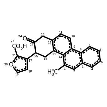 Cc1cc2ccccc2c2ccc3c(c12)CC(c1ccoc1C(=O)O)C(=O)C3